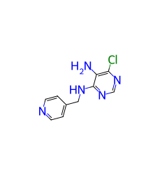 Nc1c(Cl)ncnc1NCc1ccncc1